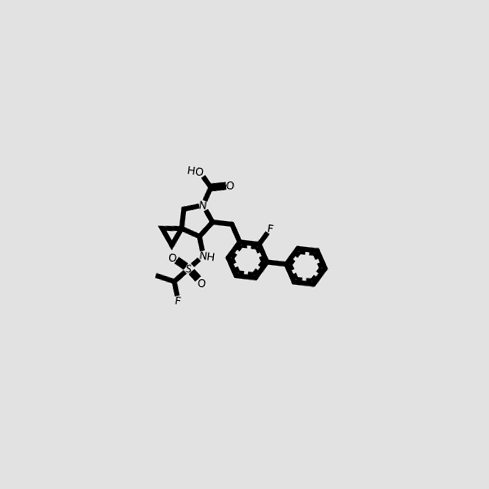 CC(F)S(=O)(=O)NC1C(Cc2cccc(-c3ccccc3)c2F)N(C(=O)O)CC12CC2